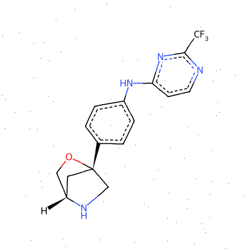 FC(F)(F)c1nccc(Nc2ccc([C@]34CN[C@H](CO3)C4)cc2)n1